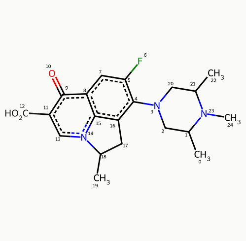 CC1CN(c2c(F)cc3c(=O)c(C(=O)O)cn4c3c2CC4C)CC(C)N1C